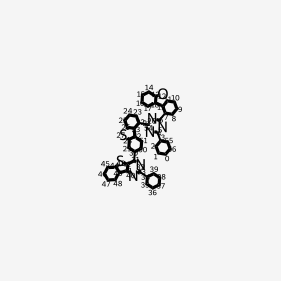 c1ccc(-c2nc(-c3cccc4oc5ccccc5c34)nc(-c3cccc4sc5cc(-c6nc(-c7ccccc7)nc7c6sc6ccccc67)ccc5c34)n2)cc1